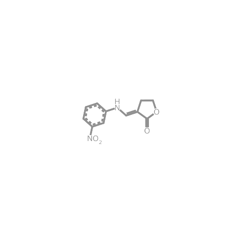 O=C1OCCC1=CNc1cccc([N+](=O)[O-])c1